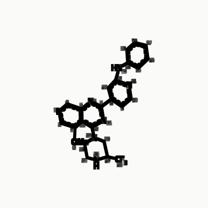 COc1cncc2nc(-c3ccnc(Nc4ccccc4)c3)nc(N3CCNC(C(F)(F)F)C3)c12